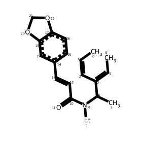 C/C=C\C(=C/C)C(C)N(CC)C(=O)/C=C/c1ccc2c(c1)OCO2